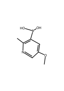 COc1cnc(C)c(B(O)O)c1